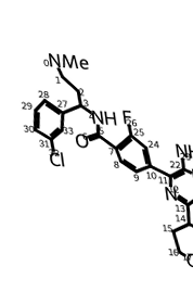 CNCCC(NC(=O)c1ccc(-c2nc(C3CCOCC3)cnc2N)cc1F)c1cccc(Cl)c1